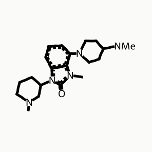 CNC1CCN(c2cccc3c2n(C)c(=O)n3C2CCCN(C)C2)CC1